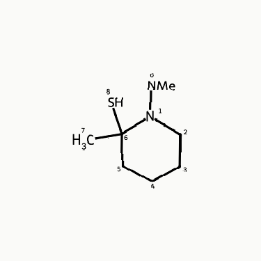 CNN1CCCCC1(C)S